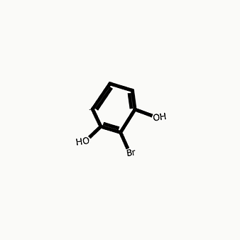 Oc1[c]ccc(O)c1Br